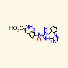 Cc1nccn1-c1ccccc1CN/C(N)=N/C(=O)c1ccc(C[C@H](N)C(=O)O)cc1